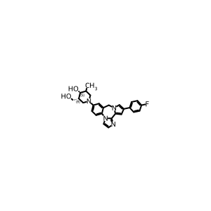 CC1CN(c2ccc3c(c2)Cn2cc(-c4ccc(F)cc4)cc2-c2nccn2-3)C[C@H](CO)[C@H]1O